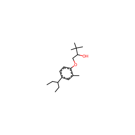 CC[C](CC)c1ccc(OCC(O)C(C)(C)C)c(C)c1